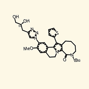 COc1cc2c(cc1-n1cc(C[C@H](O)CO)nn1)-c1c(-c3cccs3)c3c(n1CC2)C(=O)N(C(C)(C)C)CCCC3